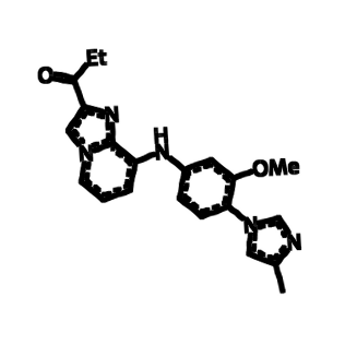 CCC(=O)c1cn2cccc(Nc3ccc(-n4cnc(C)c4)c(OC)c3)c2n1